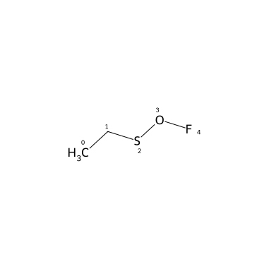 CCSOF